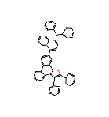 c1ccc(-c2oc3c4cc(-c5ccc(N(c6ccccc6)c6ccccc6)c6ccccc56)ccc4c4ccccc4c3c2-c2ccccc2)cc1